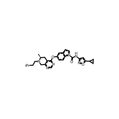 CC(C)CCN1Cc2ncnc(Oc3ccc4c(ccn4C(=O)Nc4cc(C5CC5)on4)c3)c2C[C@@H]1C